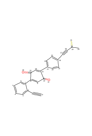 C#Cc1ccccc1C1=CC(=O)C(c2ccc(C#CC(C)=S)cc2)=CC1=O